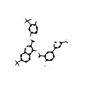 COc1ccc(-c2cc([C@@H](C)O)on2)cc1C(=O)Nc1c(C(=O)Nc2ccc(F)c(C(F)(F)F)c2)sc2cc(C(F)(F)F)ccc12